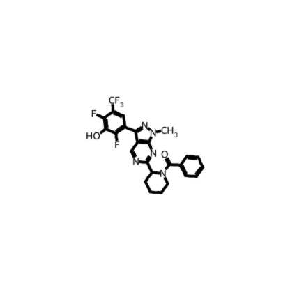 Cn1nc(-c2cc(C(F)(F)F)c(F)c(O)c2F)c2cnc(C3CCCCN3C(=O)c3ccccc3)nc21